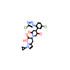 O=C1CN(C(Cc2ccn(C3CC3)n2)C(=O)O)C(=O)CC1c1cc(Cl)ccc1-n1cc(Cl)nn1